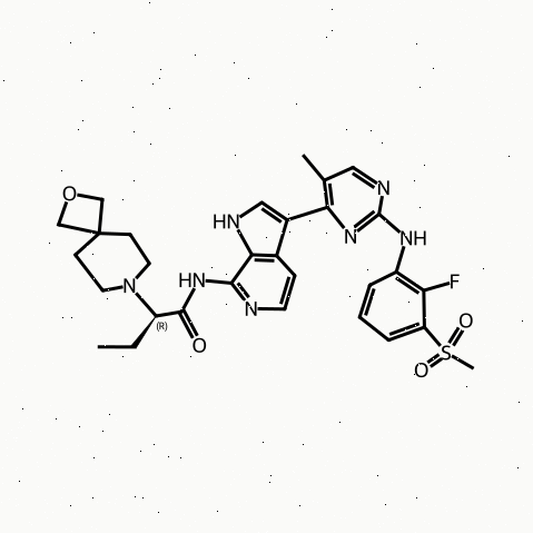 CC[C@H](C(=O)Nc1nccc2c(-c3nc(Nc4cccc(S(C)(=O)=O)c4F)ncc3C)c[nH]c12)N1CCC2(CC1)COC2